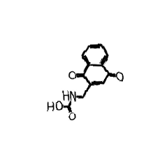 O=C(O)NCC1=CC(=O)c2ccccc2C1=O